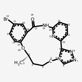 C[C@H]1CCCn2cnnc2-c2cccc(n2)NC(=O)c2cc(Br)ccc2O1